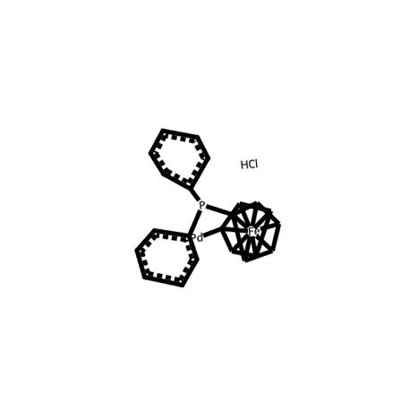 Cl.[Pd][C]12[CH]3[CH]4[CH]5[CH]1[Fe]45321678[CH]2[CH]1[CH]6[C]7(P(c1ccccc1)c1ccccc1)[CH]28